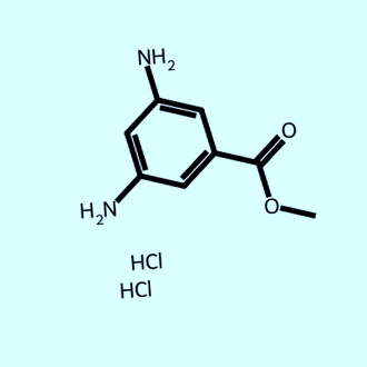 COC(=O)c1cc(N)cc(N)c1.Cl.Cl